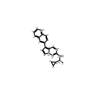 C[C@H](Nc1ncc2c(-c3ccc4ncccc4c3)ccn2n1)C1CC1